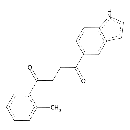 Cc1ccccc1C(=O)CCC(=O)c1ccc2[nH]ccc2c1